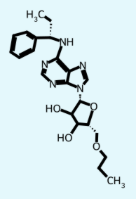 CCCOC[C@H]1O[C@@H](n2cnc3c(N[C@@H](CC)c4ccccc4)ncnc32)C(O)C1O